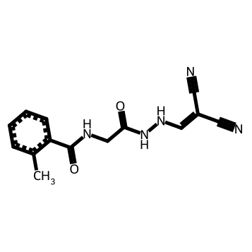 Cc1ccccc1C(=O)NCC(=O)NNC=C(C#N)C#N